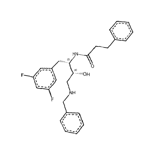 O=C(CCc1ccccc1)N[C@@H](Cc1cc(F)cc(F)c1)[C@H](O)CNCc1ccccc1